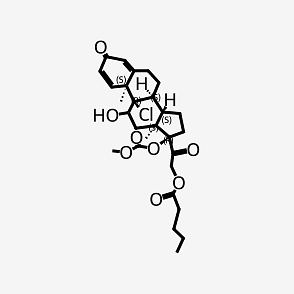 CCCCC(=O)OCC(=O)[C@@]1(OC(=O)OC)CC[C@H]2[C@@H]3CCC4=CC(=O)C=C[C@]4(C)[C@@]3(Cl)C(O)C[C@@]21C